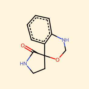 O=C1NCCC12OCNc1ccccc12